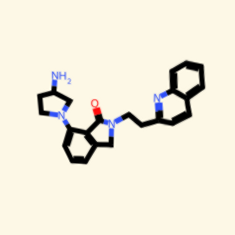 NC1CCN(c2cccc3c2C(=O)N(CCc2ccc4ccccc4n2)C3)C1